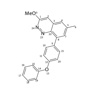 COc1cc2cc(C)cc(-c3ccc(Oc4ccccc4)cc3)c2nn1